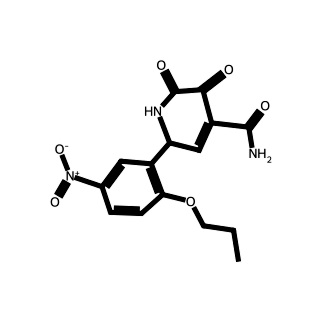 CCCOc1ccc([N+](=O)[O-])cc1C1C=C(C(N)=O)C(=O)C(=O)N1